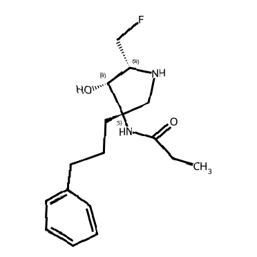 CCC(=O)N[C@@]1(CCCc2ccccc2)CN[C@@H](CF)[C@H]1O